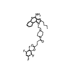 CCCCc1nc2c(N)nc3ccccc3c2n1CCN1CCN(C(=O)CCC(=O)Oc2c(F)c(F)cc(F)c2F)CC1